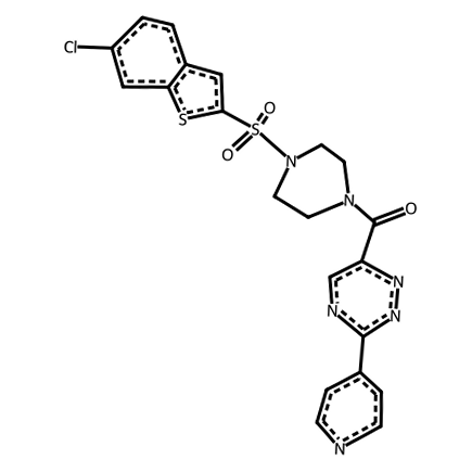 O=C(c1cnc(-c2ccncc2)nn1)N1CCN(S(=O)(=O)c2cc3ccc(Cl)cc3s2)CC1